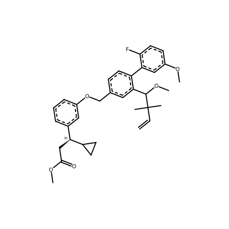 C=CC(C)(C)C(OC)c1cc(COc2cccc([C@H](CC(=O)OC)C3CC3)c2)ccc1-c1cc(OC)ccc1F